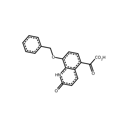 O=C(O)C(=O)c1ccc(OCc2ccccc2)c2[nH]c(=O)ccc12